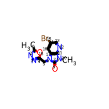 Cc1nnc(Cn2c(=O)n(C)c3ncc(Br)cc32)o1